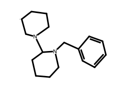 [CH]1CCCN(C2CCCCN2Cc2ccccc2)C1